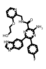 Nc1nc(-c2ccc(F)cc2)c(-c2ccc3nc[nH]c3c2)nc1C(=O)NCc1ncccc1OCCO